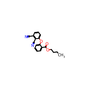 CCCCOC(=O)c1ccccc1Oc1cccc(C#N)c1C#N